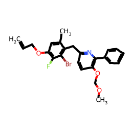 C=CCOc1cc(C)c(Cc2ccc(OCOC)c(-c3ccccc3)n2)c(Br)c1F